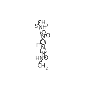 C=CCNC(=O)N1CCN(c2ccc(N3C[C@H](CNC(C)=S)OC3=O)cc2F)CC1